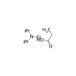 CCC(=O)O.CCN(C(C)C)C(C)C